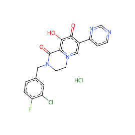 Cl.O=C1c2c(O)c(=O)c(-c3ccncn3)cn2CCN1Cc1ccc(F)c(Cl)c1